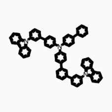 c1ccc(-c2ccc(N(c3ccc(-c4cccc(-c5cccc(-n6c7ccccc7c7ccccc76)c5)c4)cc3)c3ccc(-c4cccc(-n5c6ccccc6c6ccccc65)c4)cc3)cc2)cc1